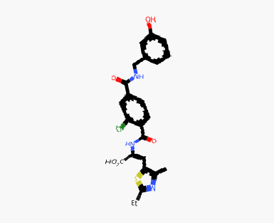 CCc1nc(C)c(C=C(NC(=O)c2ccc(C(=O)NCc3cccc(O)c3)cc2Cl)C(=O)O)s1